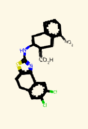 O=C(O)C1Cc2c(cccc2[N+](=O)[O-])CC1Nc1nc2c(s1)CCc1cc(Cl)c(Cl)cc1-2